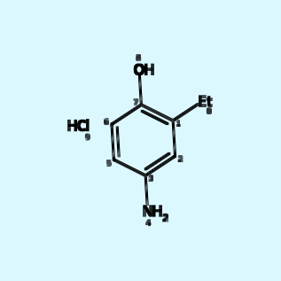 CCc1cc(N)ccc1O.Cl